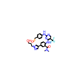 CN(C)C(=O)c1cc(-c2cnn(CCCO)c2)ccc1Nc1nc(Nc2ccc(CP=O)cc2)ncc1C(F)(F)F